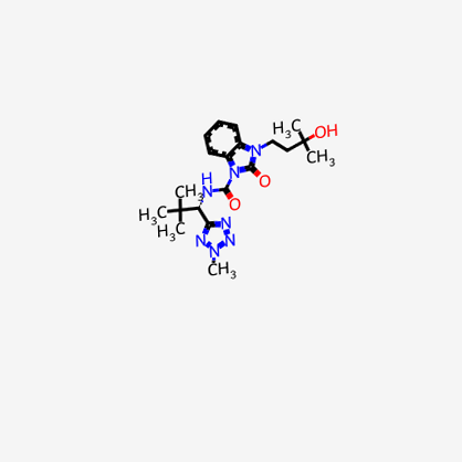 Cn1nnc([C@@H](NC(=O)n2c(=O)n(CCC(C)(C)O)c3ccccc32)C(C)(C)C)n1